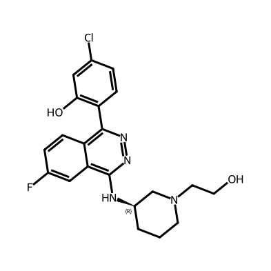 OCCN1CCC[C@@H](Nc2nnc(-c3ccc(Cl)cc3O)c3ccc(F)cc23)C1